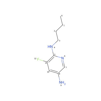 CCCCNc1ncc(N)cc1F